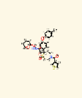 CCc1ccc(Oc2ccc(C3(CC(=O)NOC4CCCCO4)CCN(C(=O)c4ccsc4)CCS3(=O)=O)cc2)cc1